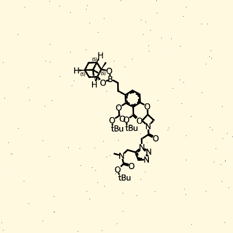 CN(Cc1cnnn1CC(=O)N1CC(Oc2ccc(CCB3O[C@@H]4C[C@@H]5C[C@@H](C5(C)C)[C@]4(C)O3)c(OC(=O)OC(C)(C)C)c2C(=O)OC(C)(C)C)C1)C(=O)OC(C)(C)C